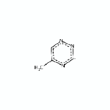 Cc1cnn[c]n1